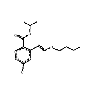 CCCCOC=Cc1nc(Cl)ncc1C(=O)OC(C)C